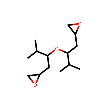 CC(C)C(CC1CO1)OC(CC1CO1)C(C)C